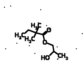 CCC(C)(C)C(=O)OCC(C)O